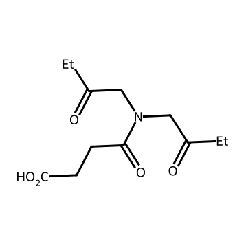 CCC(=O)CN(CC(=O)CC)C(=O)CCC(=O)O